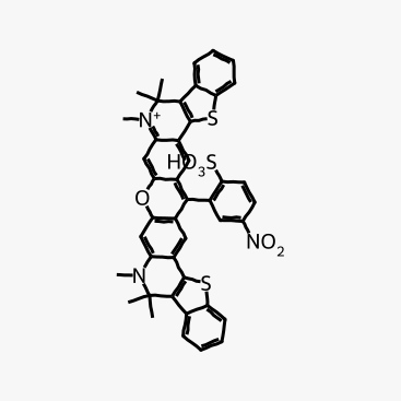 CN1c2cc3c(cc2-c2sc4ccccc4c2C1(C)C)C(c1cc([N+](=O)[O-])ccc1S(=O)(=O)O)=c1cc2c(cc1O3)=[N+](C)C(C)(C)c1c-2sc2ccccc12